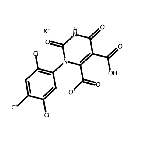 O=C(O)c1c(C(=O)[O-])n(-c2cc(Cl)c(Cl)cc2Cl)c(=O)[nH]c1=O.[K+]